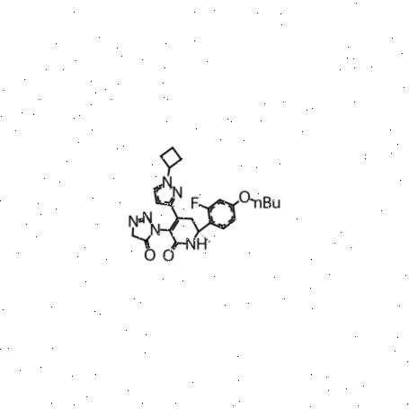 CCCCOc1ccc([C@]2(C)CC(c3ccn(C4CCC4)n3)=C(N3N=NCC3=O)C(=O)N2)c(F)c1